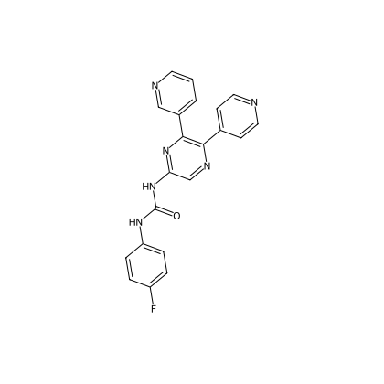 O=C(Nc1ccc(F)cc1)Nc1cnc(-c2ccncc2)c(-c2cccnc2)n1